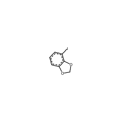 Ic1cccc2c1OCO2